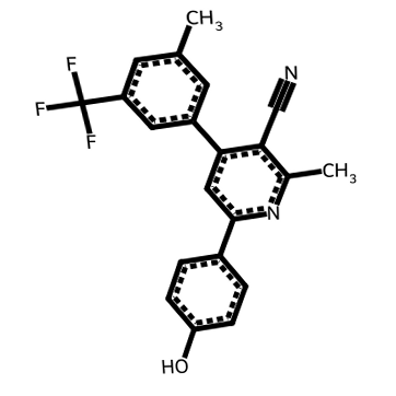 Cc1cc(-c2cc(-c3ccc(O)cc3)nc(C)c2C#N)cc(C(F)(F)F)c1